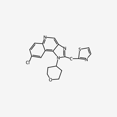 Clc1ccc2ncc3nc(Cc4nccs4)n(C4CCOCC4)c3c2c1